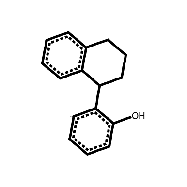 Oc1ccc[c]c1C1CCCc2ccccc21